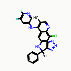 [2H]C(Nc1cc(Cl)c2ncc(C#N)c(Nc3cnc(F)c(F)c3)c2c1)(c1ccccc1)c1c[nH]nn1